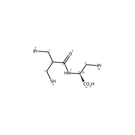 CC(C)CC(CS)C(=O)N[C@@H](CC(C)C)C(=O)O